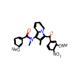 COc1cccc(C(=O)N(C)c2c(C)c(C(=O)c3ccc([N+](=O)[O-])c(OC)c3)n3ccccc23)c1